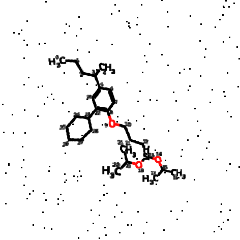 CCCC(C)c1ccc(OCCC[SiH](OC(C)C)OC(C)C)c(C2CCCCC2)c1